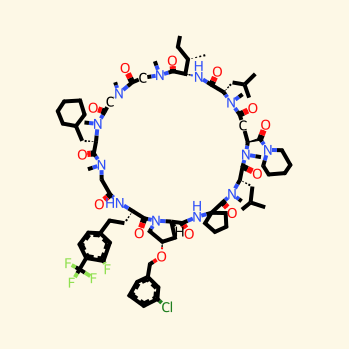 CC[C@H](C)[C@@H]1NC(=O)[C@H](CC(C)C)N(C)C(=O)C[C@@H](C(=O)N2CCCCC2)N(C)C(=O)[C@H](CC(C)C)N(C)C(=O)C2(CCCC2)NC(=O)[C@@H]2C[C@H](OCc3cccc(Cl)c3)CN2C(=O)[C@H](CCc2ccc(C(F)(F)F)c(F)c2)NC(=O)CN(C)C(=O)[C@H](CC2CCCCC2)N(C)C(=O)CN(C)C(=O)CN(C)C1=O